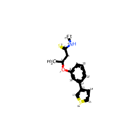 CCNC(=S)CC(C)Oc1cccc(-c2ccsc2)c1